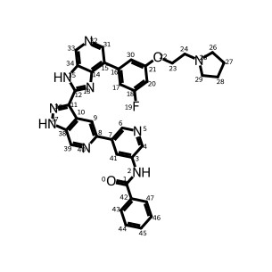 O=C(Nc1cncc(-c2cc3c(-c4nc5c(-c6cc(F)cc(OCCN7CCCC7)c6)cncc5[nH]4)n[nH]c3cn2)c1)c1ccccc1